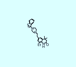 CCc1cc(CCN2CCN(c3nsc4ccccc34)CC2)cc2c1NC(=O)CC2(C)C